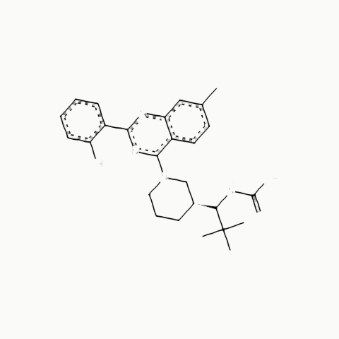 Cc1ccc2c(N3CCC[C@H](C(NC(=O)O)C(C)(C)C)C3)nc(-c3ccccc3O)nc2c1